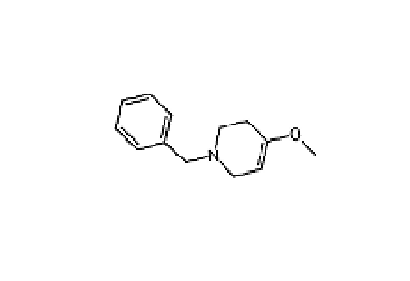 COC1=CCN(Cc2ccccc2)CC1